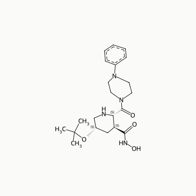 CC(C)(C)O[C@@H]1CN[C@H](C(=O)N2CCN(c3ccccc3)CC2)[C@@H](C(=O)NO)C1